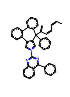 C=C(/C=C\C=C/C)C1(c2ccccc2)c2ccccc2-c2ccccc2-c2cn(-c3nc(-c4ccccc4)c4ccccc4n3)cc21